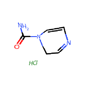 Cl.NC(=O)N1C=CN=CC1